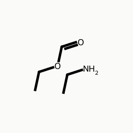 CCN.CCOC=O